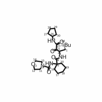 CC[C@H](C)CC(NC(=O)C1(NC(=O)N2CCOCC2)CCCCC1)C(=O)C(=O)NC1CCCC1